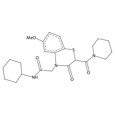 COc1ccc2c(c1)N(CC(=O)NC1CCCCC1)C(=O)C(C(=O)N1CCCCC1)S2